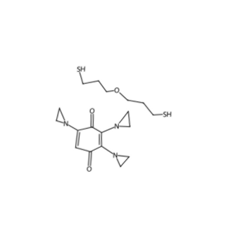 O=C1C=C(N2CC2)C(=O)C(N2CC2)=C1N1CC1.SCCCOCCCS